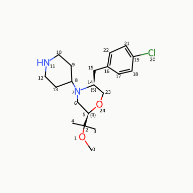 COC(C)(C)[C@H]1CN(C2CCNCC2)[C@@H](Cc2ccc(Cl)cc2)CO1